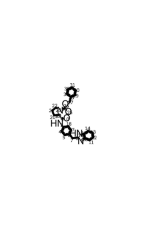 O=C(Nc1ccc(Cc2nc3ccccc3[nH]2)cc1)[C@@H]1CCCN1C(=O)OCc1ccccc1